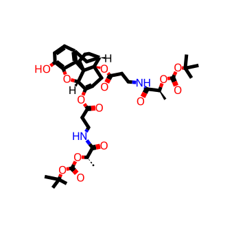 C[C@H](OC(=O)OC(C)(C)C)C(=O)NCCC(=O)OC1=CC[C@@]2(OC(=O)CCNC(=O)[C@H](C)OC(=O)OC(C)(C)C)[C@@H]3CCCC24c2c(ccc(O)c2O[C@@H]14)C3